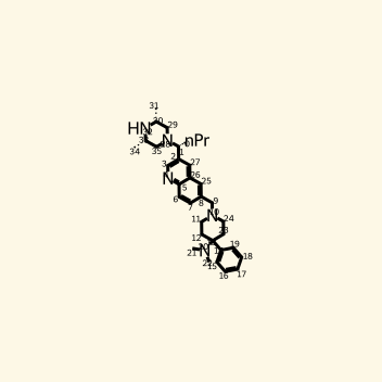 CCC[C@H](c1cnc2ccc(CN3CCC(c4ccccc4)(N(C)C)CC3)cc2c1)N1C[C@@H](C)N[C@@H](C)C1